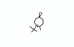 CC1CCC(=O)CCN1C(C)(C)C